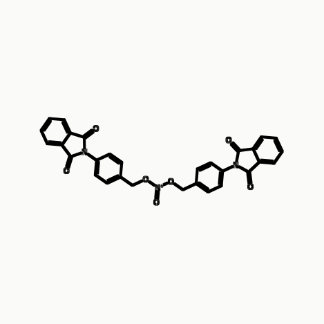 O=C1c2ccccc2C(=O)N1c1ccc(CO[N+](=O)OCc2ccc(N3C(=O)c4ccccc4C3=O)cc2)cc1